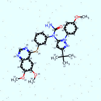 COc1ccc(-n2nc(C(C)(C)C)cc2N(C(N)=O)c2cccc(Sc3ncnc4cc(OC)c(OC)cc34)c2)cc1